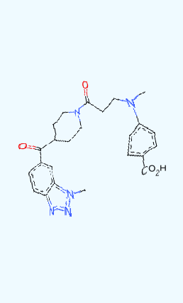 CN(CCC(=O)N1CCC(C(=O)c2ccc3nnn(C)c3c2)CC1)c1ccc(C(=O)O)cc1